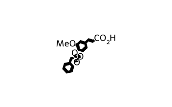 COc1cc(C=CC(=O)O)ccc1OS(=O)(=O)Cc1ccccc1